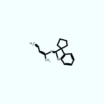 C=C/C=C(C)\N=C(/N)C1(c2ccccc2)CCCC1